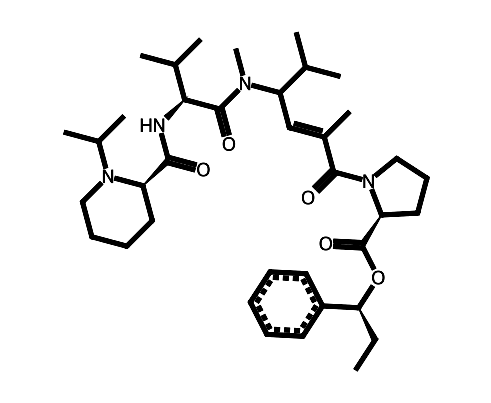 CC[C@H](OC(=O)[C@@H]1CCCN1C(=O)/C(C)=C/C(C(C)C)N(C)C(=O)[C@@H](NC(=O)[C@H]1CCCCN1C(C)C)C(C)C)c1ccccc1